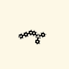 c1ccc(-c2nc(-c3ccccc3)nc(-c3ccc4ccc(-c5ccc(-c6ccncc6)cc5)cc4c3)n2)cc1